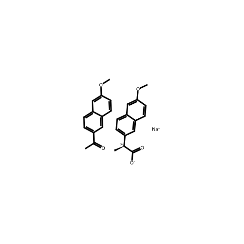 COc1ccc2cc(C(C)=O)ccc2c1.COc1ccc2cc([C@H](C)C(=O)[O-])ccc2c1.[Na+]